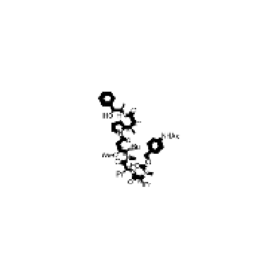 CC[C@H](C)[C@@H]([C@@H](CC(=O)N1CCCC1[C@H](C)[C@@H](C)C(=O)N[C@H](C)[C@@H](O)c1ccccc1)OC)N(C)C(=O)[C@@H](NC(=O)[C@H](C(C)C)N(C)C(=O)OCc1ccc(NC(C)=O)cc1)C(C)C